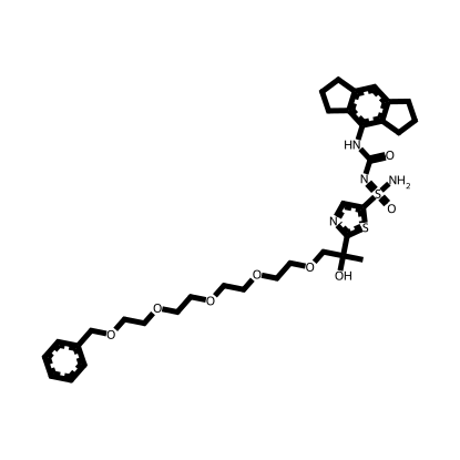 CC(O)(COCCOCCOCCOCCOCc1ccccc1)c1ncc(S(N)(=O)=NC(=O)Nc2c3c(cc4c2CCC4)CCC3)s1